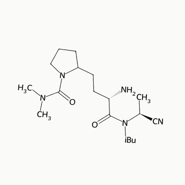 CCC(C)N(C(=O)[C@@H](N)CCC1CCCN1C(=O)N(C)C)[C@@H](C)C#N